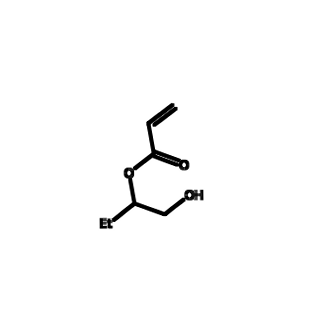 C=CC(=O)OC(CC)CO